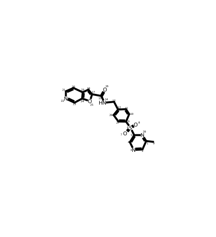 Cc1cncc(S(=O)(=O)c2ccc(CNC(=O)c3cc4ccncc4o3)cc2)n1